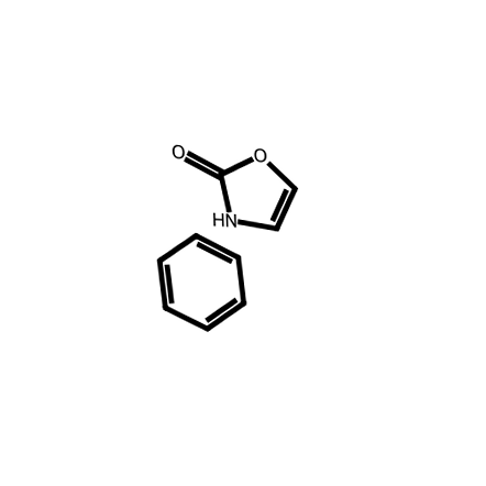 O=c1[nH]cco1.c1ccccc1